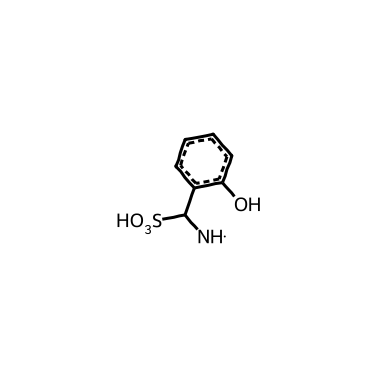 [NH]C(c1ccccc1O)S(=O)(=O)O